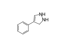 C1=C(c2ccccc2)CNN1